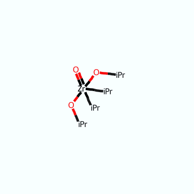 CC(C)[O][Zr](=[O])([O]C(C)C)([CH](C)C)[CH](C)C